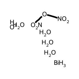 O.O.O.O.O.O=[N+]([O-])O[N+](=O)[O-].[BiH3]